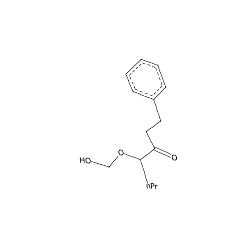 CCCC(OCO)C(=O)CCc1ccccc1